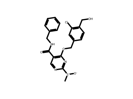 C[S+]([O-])c1ncc(C(=O)NCc2ccccc2)c(OCc2ccc(CO)c(Cl)c2)n1